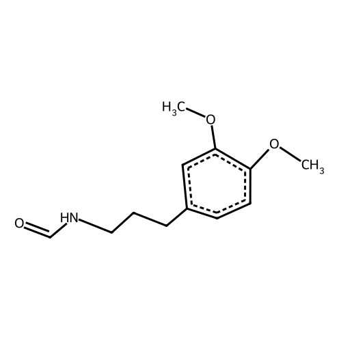 COc1ccc(CCCNC=O)cc1OC